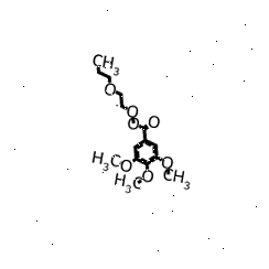 CCCOC[CH]OOC(=O)c1cc(OC)c(OC)c(OC)c1